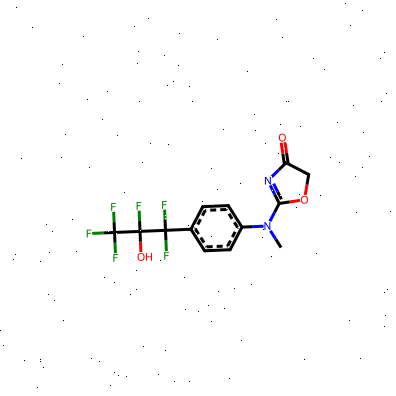 CN(C1=NC(=O)CO1)c1ccc(C(F)(F)C(O)(F)C(F)(F)F)cc1